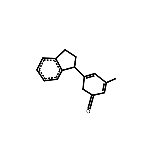 CC1=CC(=O)CC(C2CCc3ccccc32)=C1